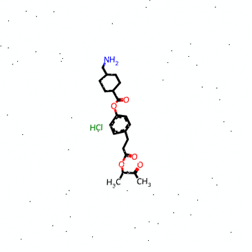 CC(=O)C(C)OC(=O)CCc1ccc(OC(=O)C2CCC(CN)CC2)cc1.Cl